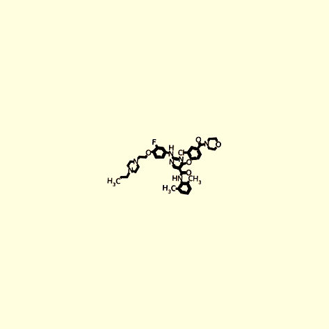 CCCN1CCN(CCOc2ccc(Nc3ncc(C(=O)Nc4c(C)cccc4C)c(Oc4ccc(C(=O)N5CCOCC5)cc4Cl)n3)cc2F)CC1